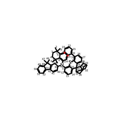 CC1(C)CCC(C)(C)c2c(N(c3cccc4c3Sc3c(-c5ccccc5)cccc3C43C4CC5CC(C4)C3C5)C3C=CC4=C(C3)C(C)(C)c3ccccc34)cccc21